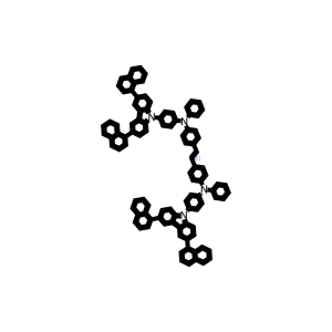 C(=C\c1ccc(N(c2ccccc2)c2ccc(-n3c4ccc(-c5cccc6ccccc56)cc4c4cc(-c5cccc6ccccc56)ccc43)cc2)cc1)/c1ccc(N(c2ccccc2)c2ccc(-n3c4ccc(-c5cccc6ccccc56)cc4c4cc(-c5cccc6ccccc56)ccc43)cc2)cc1